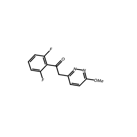 COc1ccc(CC(=O)c2c(F)cccc2F)nn1